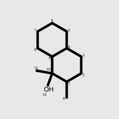 CC1CCC2CCCCC2C1(C)O